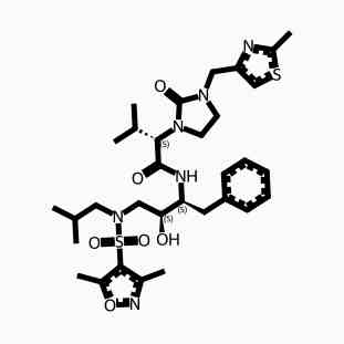 Cc1nc(CN2CCN([C@H](C(=O)N[C@@H](Cc3ccccc3)[C@@H](O)CN(CC(C)C)S(=O)(=O)c3c(C)noc3C)C(C)C)C2=O)cs1